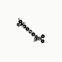 O=P(OCc1ccccc1)(OCc1ccccc1)OC(c1cn(-c2ccc(N3CCN(c4ccc(-c5ccc(C(F)(F)[C@]6(O)Cn7nnnc7-c7cc(F)ccc76)nc5)cc4)CC3)cc2)nn1)C(F)(F)F